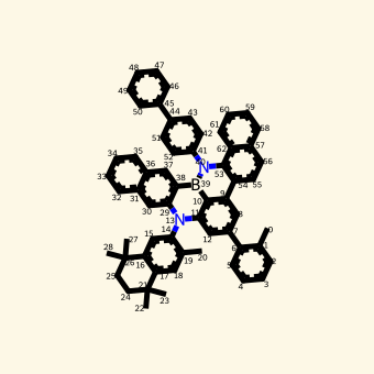 Cc1ccccc1-c1cc2c3c(c1)N(c1cc4c(cc1C)C(C)(C)CCC4(C)C)c1cc4ccccc4cc1B3N(c1ccc(-c3ccccc3)cc1)c1c-2ccc2ccccc12